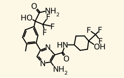 Cc1ccc(C(O)(C(N)=O)C(F)(F)F)cc1-c1cnc(N)c(C(=O)NC2CCC(O)(C(F)(F)F)CC2)n1